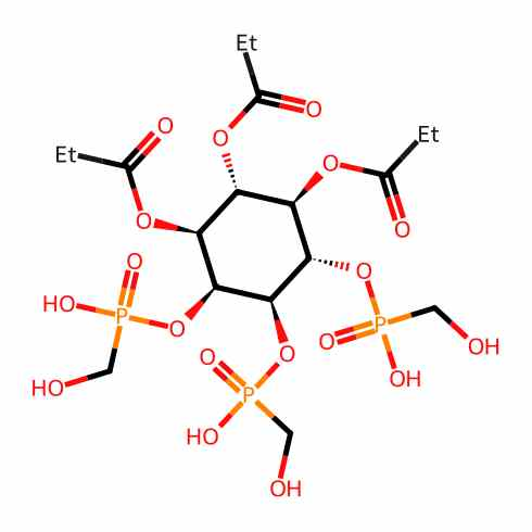 CCC(=O)O[C@@H]1[C@@H](OC(=O)CC)[C@H](OP(=O)(O)CO)[C@@H](OP(=O)(O)CO)[C@@H](OP(=O)(O)CO)[C@H]1OC(=O)CC